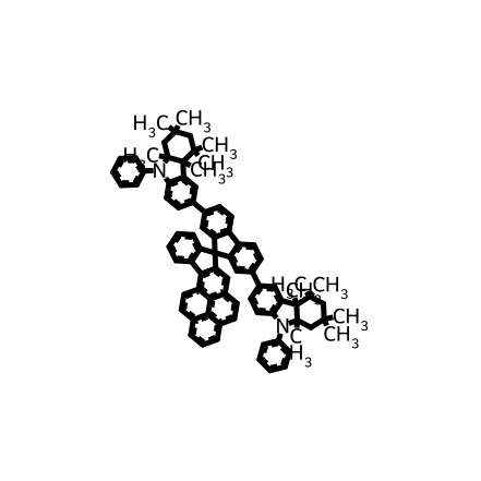 CC1(C)CC(C)(C)C2(C)c3cc(-c4ccc5c(c4)C4(c6cc(-c7ccc8c(c7)C7(C)C(C)(C)CC(C)(C)CC7(C)N8c7ccccc7)ccc6-5)c5ccccc5-c5c4cc4ccc6cccc7ccc5c4c67)ccc3N(c3ccccc3)C2(C)C1